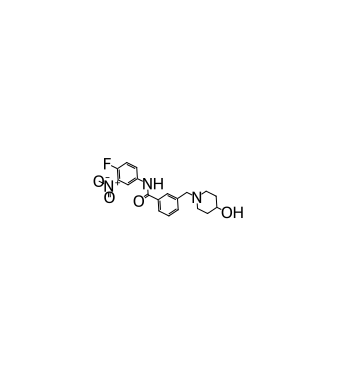 O=C(Nc1ccc(F)c([N+](=O)[O-])c1)c1cccc(CN2CCC(O)CC2)c1